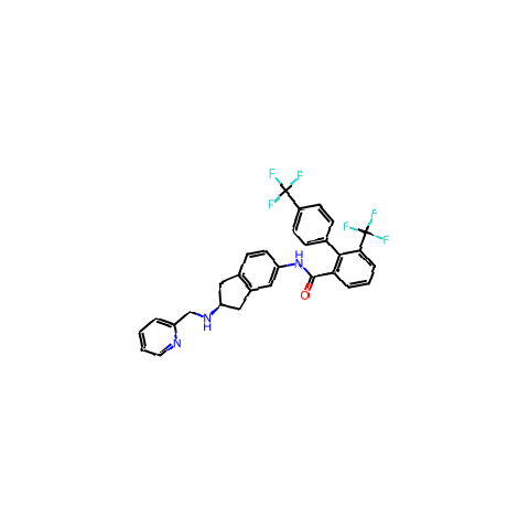 O=C(Nc1ccc2c(c1)C[C@@H](NCc1ccccn1)C2)c1cccc(C(F)(F)F)c1-c1ccc(C(F)(F)F)cc1